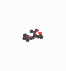 c1ccc(-c2cc(-c3ccccc3)cc(-c3nc(-c4ccc5ccc(-c6cc7sc8cccc9c%10ccccc%10n%10c%11ccccc%11c6c%10c7c89)cc5c4)nc(-c4ccc5c6ccccc6n(-c6ccccc6)c5c4)n3)c2)cc1